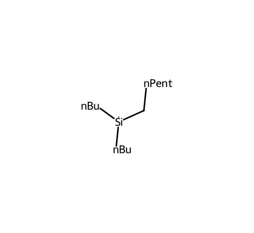 CCCCCC[Si](CCCC)CCCC